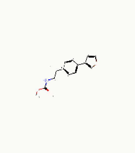 C[C@@H](CNC(=O)OC(C)(C)C)c1ccc(-c2ccsc2)cc1